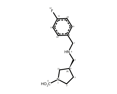 O=C(O)N1CC[C@H](CNCc2ccc(F)cc2)C1